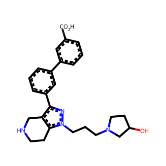 O=C(O)c1cccc(-c2cccc(-c3nn(CCCN4CCC(O)C4)c4c3CNCC4)c2)c1